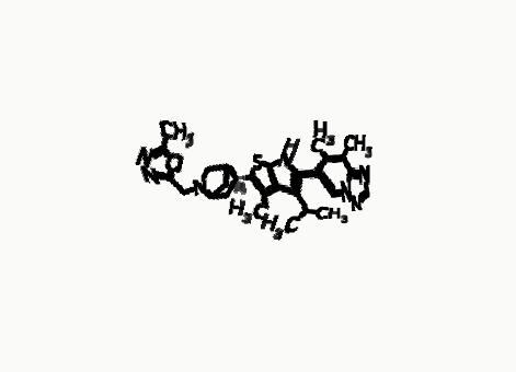 Cc1nnc(CN2CC3CC2C[C@H]3c2sc3[nH]c(-c4cn5ncnc5c(C)c4C)c(C(C)C)c3c2C)o1